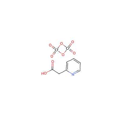 O=C(O)Cc1ccccn1.[O]=[Cr]1(=[O])[O][Cr](=[O])(=[O])[O]1